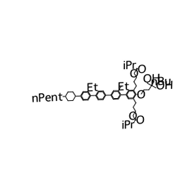 CCCCCC1CCC(c2ccc(-c3ccc(-c4ccc(-c5cc(CCCOC(=O)C(C)C)c(OCCC(CO)(CO)CCCC)c(CCCOC(=O)C(C)C)c5)c(CC)c4)cc3CC)cc2)CC1